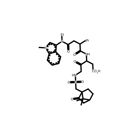 CCN(C(=O)CC(C(=O)NC(CC(=O)O)C(=O)CNS(=O)(=O)CC12CCC(CC1=O)C2(C)C)C(C)C)c1cn(C)c2ccccc12